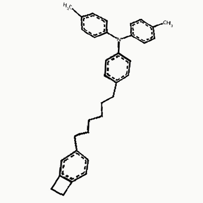 Cc1ccc(N(c2ccc(C)cc2)c2ccc(CCCCCCc3ccc4c(c3)CC4)cc2)cc1